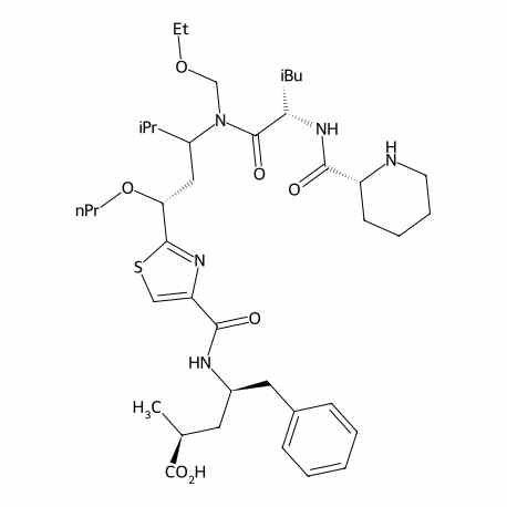 CCCO[C@H](CC(C(C)C)N(COCC)C(=O)[C@@H](NC(=O)[C@H]1CCCCN1)[C@@H](C)CC)c1nc(C(=O)N[C@@H](Cc2ccccc2)C[C@H](C)C(=O)O)cs1